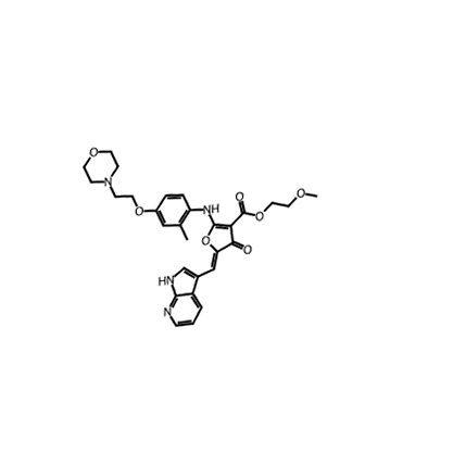 COCCOC(=O)C1=C(Nc2ccc(OCCN3CCOCC3)cc2C)OC(=Cc2c[nH]c3ncccc23)C1=O